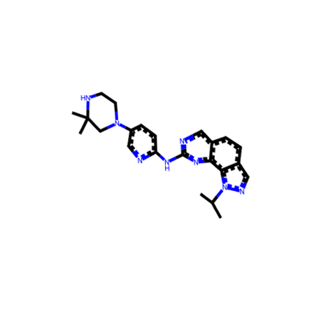 CC(C)n1ncc2ccc3cnc(Nc4ccc(N5CCNC(C)(C)C5)cn4)nc3c21